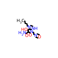 CCCCCN1CCNc2c1c(O)c(C(N)=O)c(=O)n2CCN1CCOCC1